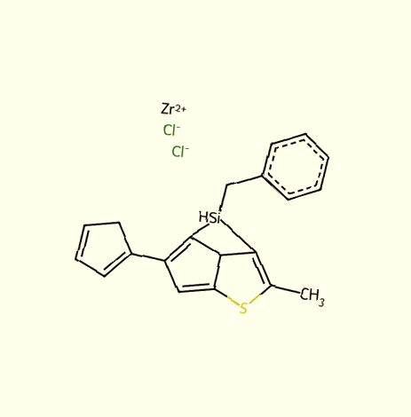 CC1=C2C3C(=CC(C4=CC=CC4)=C3[SiH]2Cc2ccccc2)S1.[Cl-].[Cl-].[Zr+2]